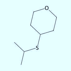 CC(C)SC1CCOCC1